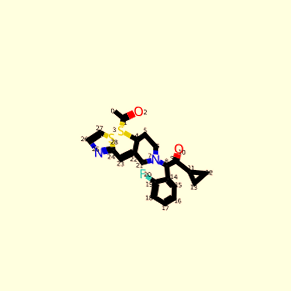 CC(=O)SC1CCN(C(C(=O)C2CC2)c2ccccc2F)CC1=Cc1nccs1